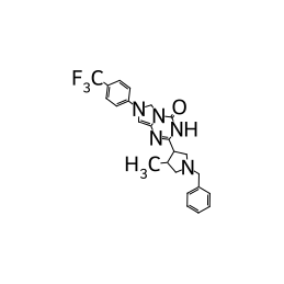 CC1CN(Cc2ccccc2)CC1C1=NC2=CN(c3ccc(C(F)(F)F)cc3)CN2C(=O)N1